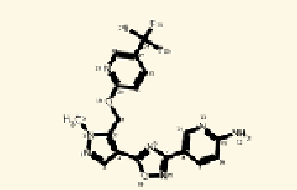 Cn1ncc(-c2nc(-c3ccc(N)nc3)no2)c1COc1ccc(C(F)(F)F)cn1